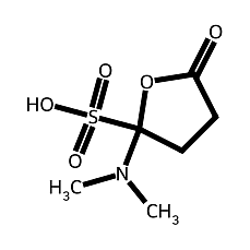 CN(C)C1(S(=O)(=O)O)CCC(=O)O1